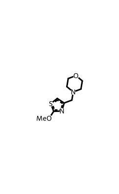 COc1nc(CN2CCOCC2)cs1